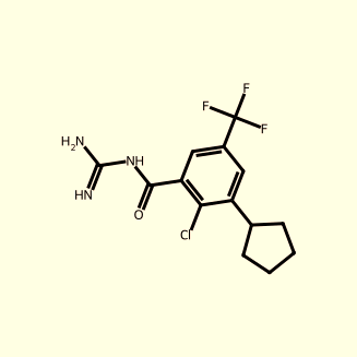 N=C(N)NC(=O)c1cc(C(F)(F)F)cc(C2CCCC2)c1Cl